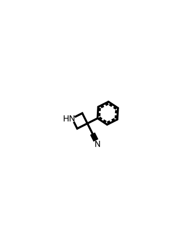 N#CC1(c2ccccc2)CNC1